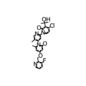 Cc1cnc(-n2ccc(Cl)c(C(C)(C)O)c2=O)cc1-n1c(C)cc(OCc2ncccc2F)cc1=O